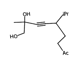 CC(=O)CCC(C#CC(C)(O)CO)C(C)C